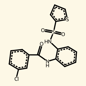 O=C(Nc1ccccc1NS(=O)(=O)c1cccs1)c1cccc(Cl)c1